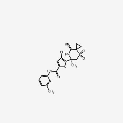 Cc1cccc(NC(=O)c2cc(Cl)c([C@]3(C)CS(=O)(=O)C4(CC4)C(=N)N3)s2)n1